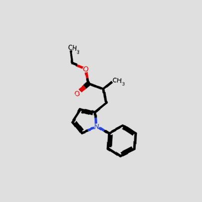 CCOC(=O)C(C)Cc1cccn1-c1ccccc1